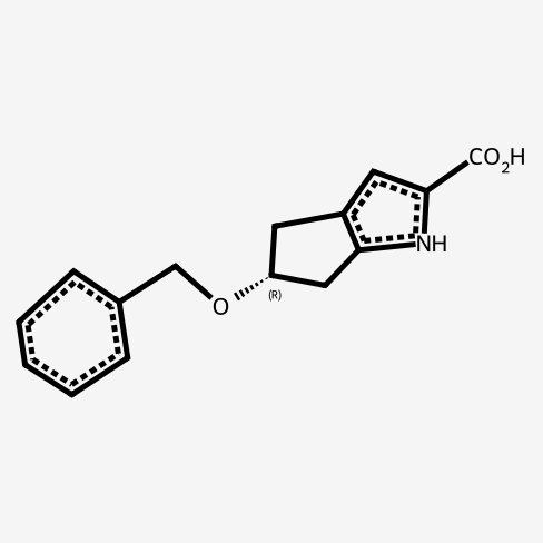 O=C(O)c1cc2c([nH]1)C[C@H](OCc1ccccc1)C2